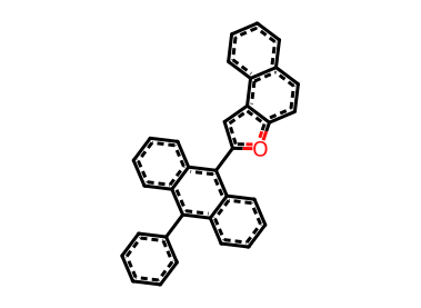 c1ccc(-c2c3ccccc3c(-c3cc4c(ccc5ccccc54)o3)c3ccccc23)cc1